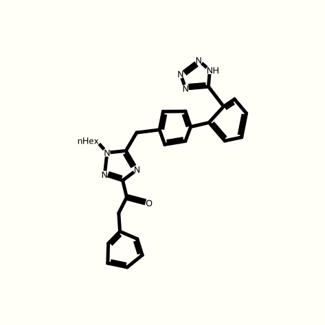 CCCCCCn1nc(C(=O)Cc2ccccc2)nc1Cc1ccc(-c2ccccc2-c2nnn[nH]2)cc1